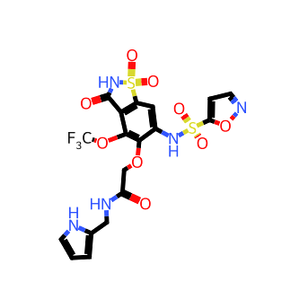 O=C(COc1c(NS(=O)(=O)c2ccno2)cc2c(c1OC(F)(F)F)C(=O)NS2(=O)=O)NCc1ccc[nH]1